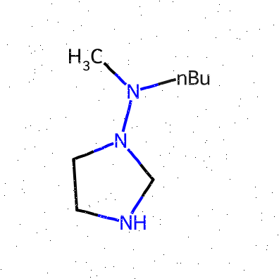 CCCCN(C)N1CCNC1